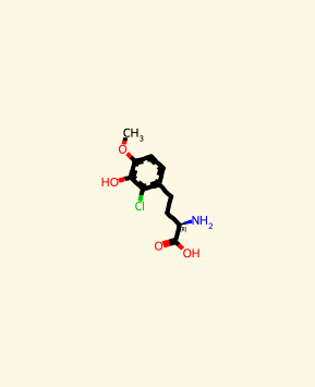 COc1ccc(CC[C@@H](N)C(=O)O)c(Cl)c1O